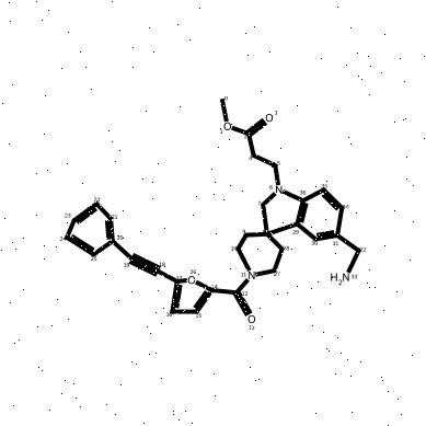 COC(=O)CCN1CC2(CCN(C(=O)c3ccc(C#Cc4ccccc4)o3)CC2)c2cc(CN)ccc21